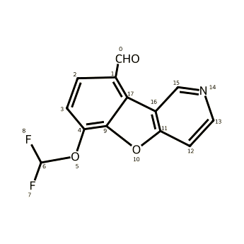 O=Cc1ccc(OC(F)F)c2oc3ccncc3c12